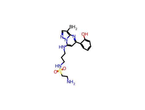 Bc1cnn2c(NCCCNS(=O)(=O)CCN)cc(-c3ccccc3O)nc12